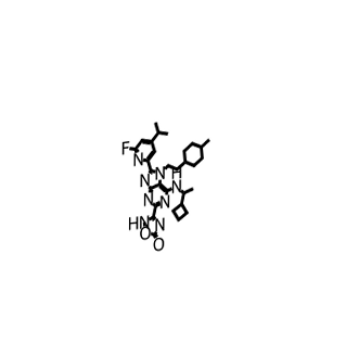 CC1CCC(CCn2c(-c3cc(C(C)C)cc(F)n3)nc3nc(-c4nc(=O)o[nH]4)nc(NC(C)C4CCC4)c32)CC1